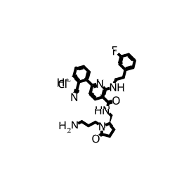 N#Cc1ccccc1-c1ccc(C(=O)NC[C@H]2CCC(=O)N2CCCN)c(NCCc2cccc(F)c2)n1.[Cl-].[H+]